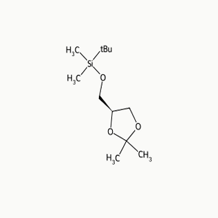 CC1(C)OC[C@H](CO[Si](C)(C)C(C)(C)C)O1